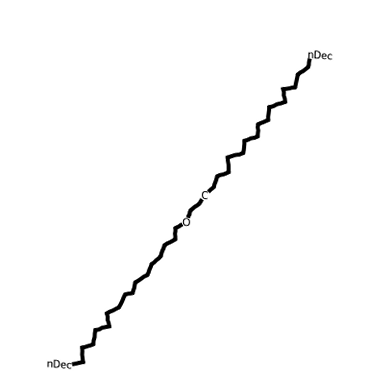 CCCCCCCCCCCCCCCCCCCCCCCCCCCCOCCCCCCCCCCCCCCCCCCCCCCCCCC